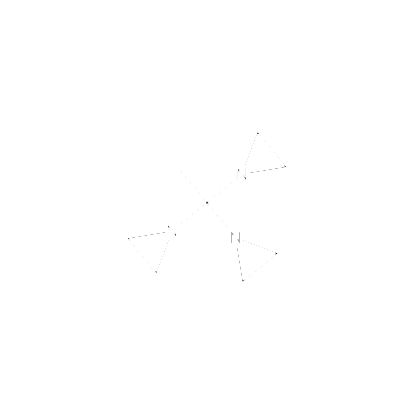 CC(N1CC1)(N1CC1)N1CC1